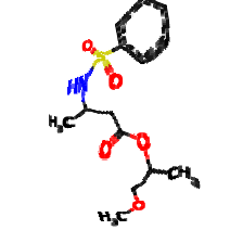 COCC(C)OC(=O)CC(C)NS(=O)(=O)c1ccccc1